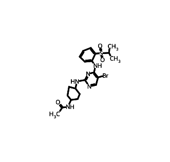 CC(=O)NC1CCC(Nc2ncc(Br)c(Nc3ccccc3S(=O)(=O)C(C)C)n2)CC1